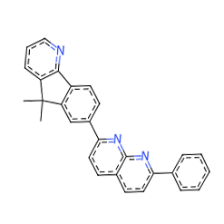 CC1(C)c2cc(-c3ccc4ccc(-c5ccccc5)nc4n3)ccc2-c2ncccc21